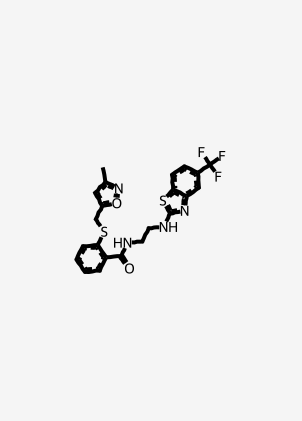 Cc1cc(CSc2ccccc2C(=O)NCCNc2nc3cc(C(F)(F)F)ccc3s2)on1